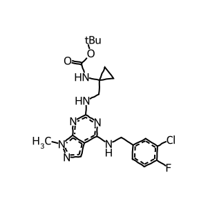 Cn1ncc2c(NCc3ccc(F)c(Cl)c3)nc(NCC3(NC(=O)OC(C)(C)C)CC3)nc21